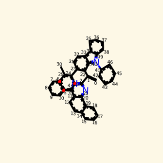 C=C(c1nc(-c2ccccc2)c2ccc3ccccc3c2n1)c1c(-c2ccccc2C)ccc2c3ccccc3n(-c3ccccc3)c12